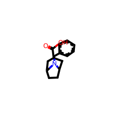 O=C(O)C1CC2CCC(C1)N2Cc1ccccc1